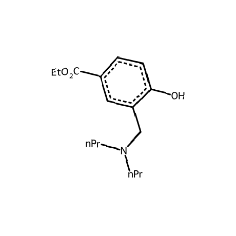 CCCN(CCC)Cc1cc(C(=O)OCC)ccc1O